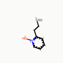 O=C([O-])CCc1cccc[n+]1O